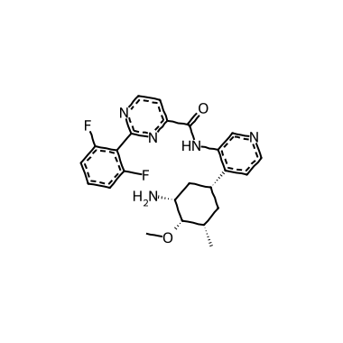 CO[C@@H]1[C@H](N)C[C@H](c2ccncc2NC(=O)c2ccnc(-c3c(F)cccc3F)n2)C[C@@H]1C